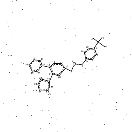 CC(C)(C)c1ccc(COCc2ccc(-c3ccccc3)c(-c3cccnc3)c2)cc1